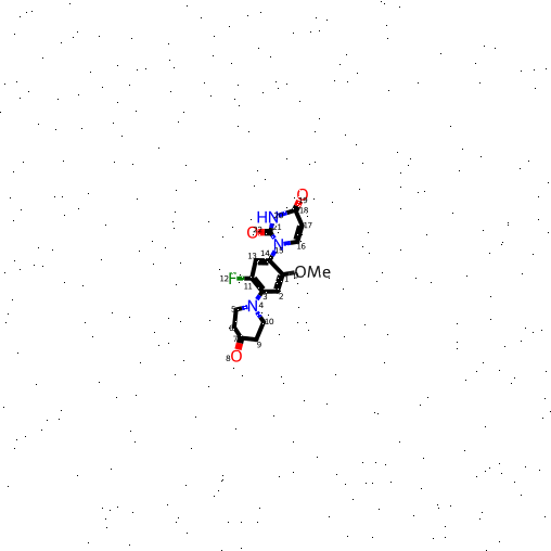 COc1cc(N2CCC(=O)CC2)c(F)cc1-n1ccc(=O)[nH]c1=O